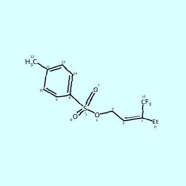 CC/C(=C/COS(=O)(=O)c1ccc(C)cc1)C(F)(F)F